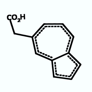 O=C(O)Cc1cccc2cccc-2c1